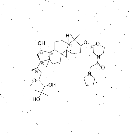 COC(C[C@@H](C)[C@H]1C[C@H](O)[C@@]2(C)C3CC[C@H]4C(C)(C)C(O[C@H]5CN(C(=O)CN6CCCC6)CCO5)CCC45CC35CCC12C)C(O)C(C)(C)O